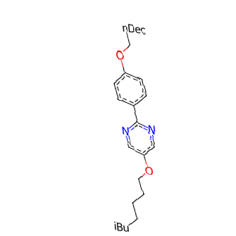 CCCCCCCCCCCOc1ccc(-c2ncc(OCCCCC(C)CC)cn2)cc1